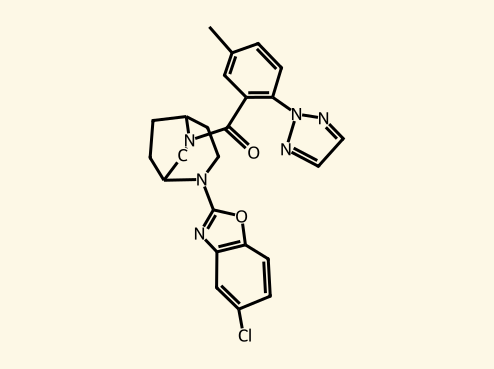 Cc1ccc(-n2nccn2)c(C(=O)N2CC3CCC2CCN3c2nc3cc(Cl)ccc3o2)c1